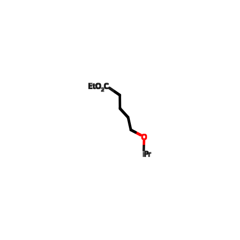 CCOC(=O)CCCCOC(C)C